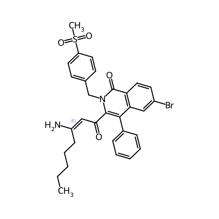 CCCCC/C(N)=C\C(=O)c1c(-c2ccccc2)c2cc(Br)ccc2c(=O)n1Cc1ccc(S(C)(=O)=O)cc1